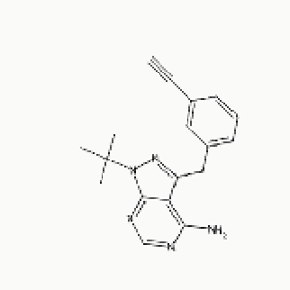 C#Cc1cccc(Cc2nn(C(C)(C)C)c3ncnc(N)c23)c1